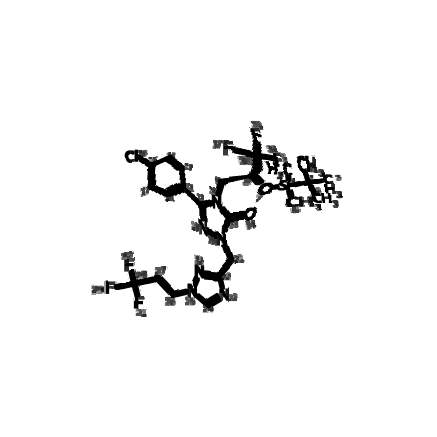 CC(C)(C)[Si](C)(C)O[C@@H](Cn1c(-c2ccc(Cl)cc2)nn(Cc2ncn(CCC(F)(F)F)n2)c1=O)C(F)(F)F